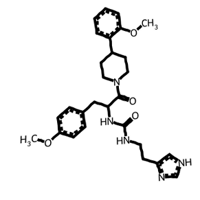 COc1ccc(CC(NC(=O)NCCc2c[nH]cn2)C(=O)N2CCC(c3ccccc3OC)CC2)cc1